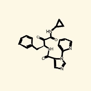 O=C(NC1CC1)C(=O)[C@H](Cc1ccccc1)NC(=O)c1cncn1-c1ccccn1